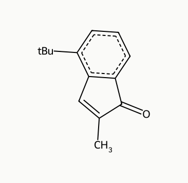 CC1=Cc2c(cccc2C(C)(C)C)C1=O